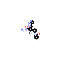 Cc1c(-c2ccc(C(N)O)c3[nH]c(-c4cccnc4)cc23)cccc1N1Cc2ccc(F)cc2C1=O